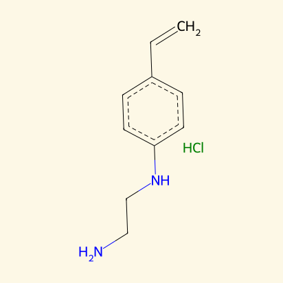 C=Cc1ccc(NCCN)cc1.Cl